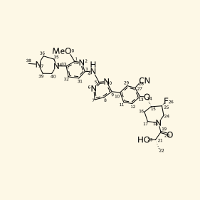 COc1nc(Nc2nccc(-c3ccc(O[C@H]4CCN(C(=O)[C@H](C)O)C[C@H]4F)c(C#N)c3)n2)ccc1N1CCN(C)CC1